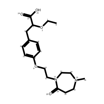 CCOC(Cc1ccc(OCCN2CCN(C)CCC2=O)cc1)C(=O)O